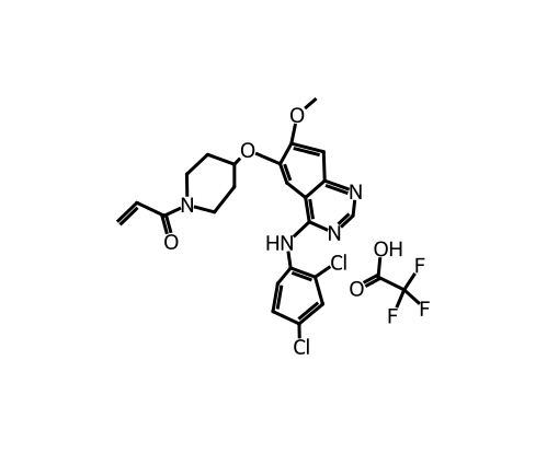 C=CC(=O)N1CCC(Oc2cc3c(Nc4ccc(Cl)cc4Cl)ncnc3cc2OC)CC1.O=C(O)C(F)(F)F